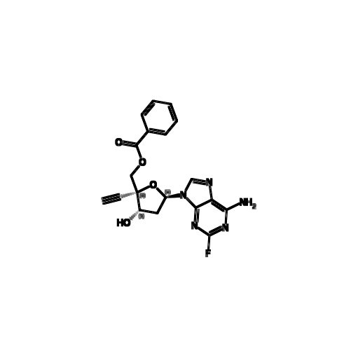 C#C[C@]1(COC(=O)c2ccccc2)O[C@@H](n2cnc3c(N)nc(F)nc32)C[C@@H]1O